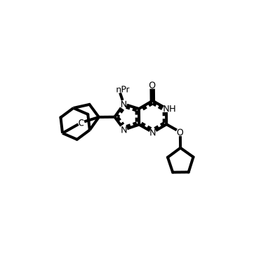 CCCn1c(C23CC4CC(CC2C4)C3)nc2nc(OC3CCCC3)[nH]c(=O)c21